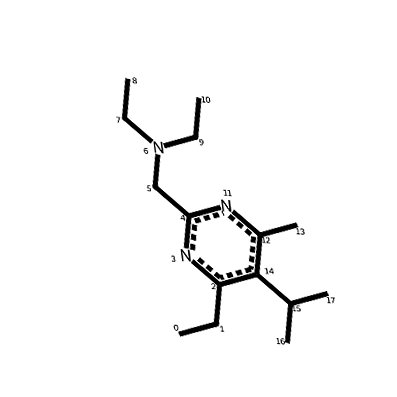 CCc1nc(CN(CC)CC)nc(C)c1C(C)C